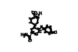 NC(=O)[C@@H]1CN(C2CCN(C(=O)O)CC2)[C@@H](Cc2ccc(Cl)cc2)CO1